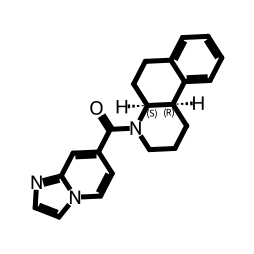 O=C(c1ccn2ccnc2c1)N1CCC[C@@H]2c3ccccc3CC[C@@H]21